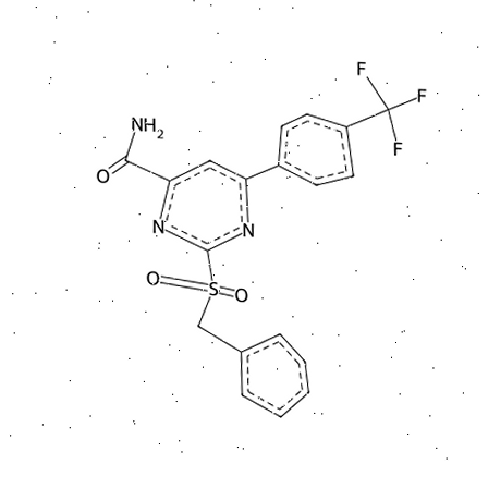 NC(=O)c1cc(-c2ccc(C(F)(F)F)cc2)nc(S(=O)(=O)Cc2ccccc2)n1